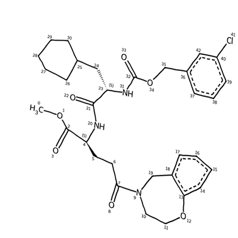 COC(=O)[C@H](CCC(=O)N1CCOc2ccccc2C1)NC(=O)[C@H](CC1CCCCC1)NC(=O)OCc1cccc(Cl)c1